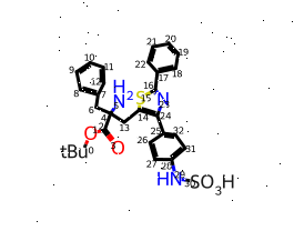 CC(C)(C)OC(=O)C(N)(Cc1ccccc1)Cc1sc(-c2ccccc2)nc1-c1ccc(NS(=O)(=O)O)cc1